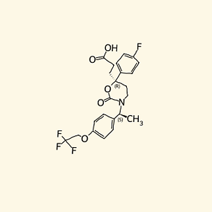 C[C@@H](c1ccc(OCC(F)(F)F)cc1)N1CC[C@](CCC(=O)O)(c2ccc(F)cc2)OC1=O